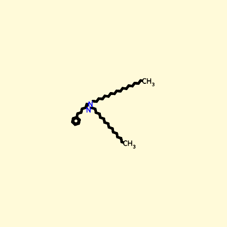 CCCCCCCCCCCCCCCCCCn1cc(CCCc2ccccc2)nc1CCCCCCCCCCCCCCC